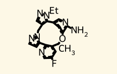 CCn1ncc2c1-c1cnc(N)c(c1)OC(C)c1cc(F)cnc1-c1ccnn1C2